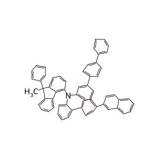 CC1(c2ccccc2)c2ccccc2-c2c(N(c3cccc(-c4ccc(-c5ccccc5)cc4)c3)c3ccccc3-c3ccc(-c4ccc5ccccc5c4)cc3)cccc21